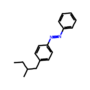 CCC(C)Cc1ccc(/N=N/c2ccccc2)cc1